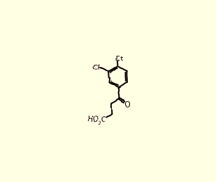 CCc1ccc(C(=O)CCC(=O)O)cc1Cl